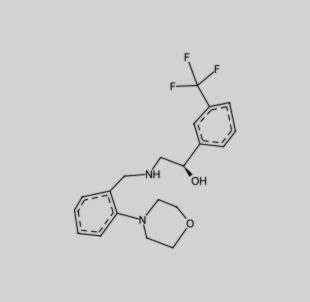 O[C@@H](CNCc1ccccc1N1CCOCC1)c1cccc(C(F)(F)F)c1